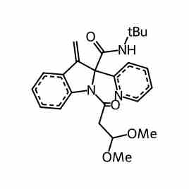 C=C1c2ccccc2N(C(=O)CC(OC)OC)C1(C(=O)NC(C)(C)C)c1ccccn1